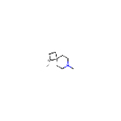 C[C@@H]1CCC12CCN(C)CC2